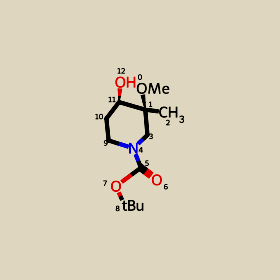 CO[C@@]1(C)CN(C(=O)OC(C)(C)C)CC[C@H]1O